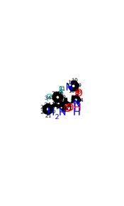 CC(C(O)[C@H]1C[C@@H](Oc2cccnc2)CN1)C(CCc1ccccc1)(C(N)=O)c1cc(F)cc(F)c1